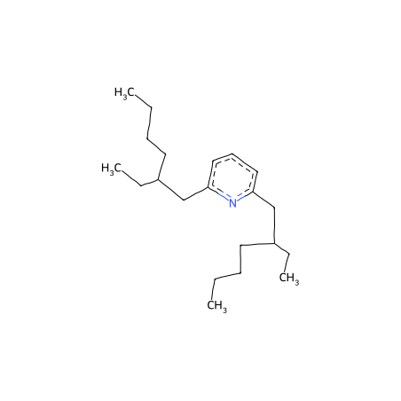 CCCCC(CC)Cc1cccc(CC(CC)CCCC)n1